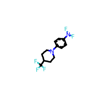 FN(F)c1ccc(N2CCC(C(F)(F)F)CC2)cc1